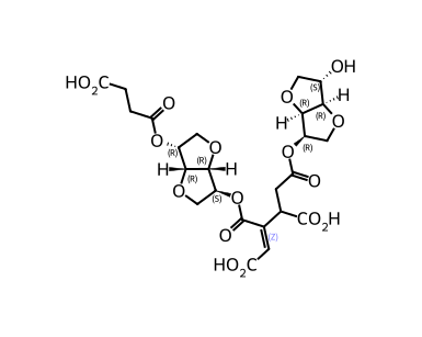 O=C(O)/C=C(\C(=O)O[C@H]1CO[C@H]2[C@@H]1OC[C@H]2OC(=O)CCC(=O)O)C(CC(=O)O[C@@H]1CO[C@H]2[C@@H]1OC[C@@H]2O)C(=O)O